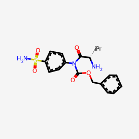 CC(C)[C@H](N)C(=O)N(C(=O)OCc1ccccc1)c1ccc(S(N)(=O)=O)cc1